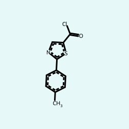 Cc1ccc(-c2ncc(C(=O)Cl)s2)cc1